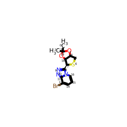 CC1(C)OC2CS[C@@H](c3nnc4c(Br)cccn34)C2O1